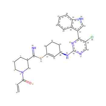 C=CC(=O)N1CCCC(C(=N)SC2=C[C@H](Nc3ncc(Cl)c(-c4c[nH]c5ccccc45)n3)CCC2)C1